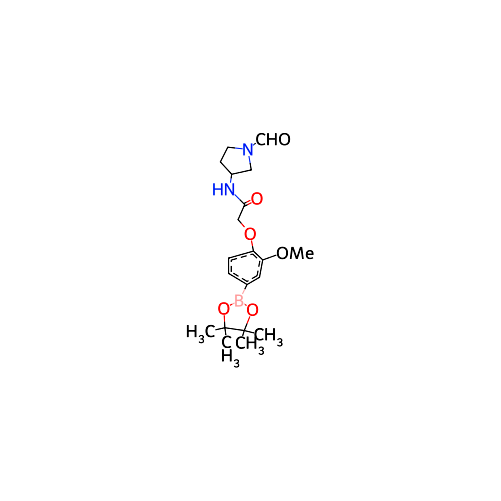 COc1cc(B2OC(C)(C)C(C)(C)O2)ccc1OCC(=O)NC1CCN(C=O)C1